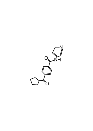 O=C(Nc1ccncc1)c1ccc(C(=O)C2CCCC2)cc1